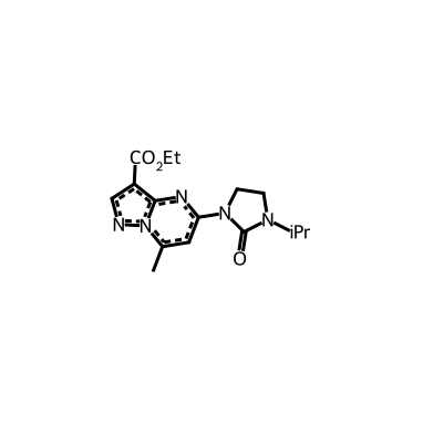 CCOC(=O)c1cnn2c(C)cc(N3CCN(C(C)C)C3=O)nc12